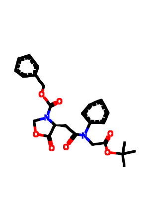 CC(C)(C)OC(=O)CN(C(=O)C[C@H]1C(=O)OCN1C(=O)OCc1ccccc1)c1ccccc1